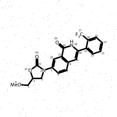 COCC1CN(c2ccc3cc(-c4ccccc4C(F)(F)F)[nH]c(=O)c3c2)C(=O)O1